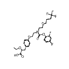 CCOC(Cc1ccc(OCCN(CCOCCCC(F)(F)F)C(=O)Oc2ccc(F)cc2F)cc1)C(=O)O